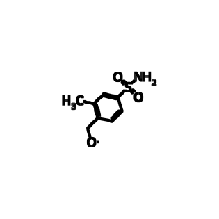 Cc1cc(S(N)(=O)=O)ccc1C[O]